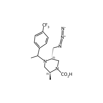 CC(c1ccc(C(F)(F)F)cc1)N1C[C@H](C)N(C(=O)O)C[C@H]1CN=[N+]=[N-]